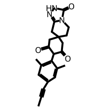 CC#Cc1cc(C)c(C2C(=O)CC3(CCn4c(n[nH]c4=O)C3)CC2=O)c(C)c1